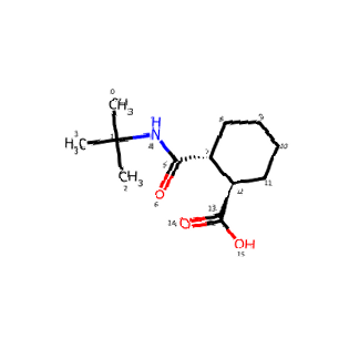 CC(C)(C)NC(=O)[C@@H]1CCCC[C@H]1C(=O)O